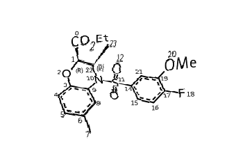 CCOC(=O)[C@@H]1Oc2ccc(C)cc2N(S(=O)(=O)c2ccc(F)c(OC)c2)[C@@H]1C